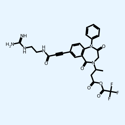 CC(CC(=O)OC(=O)C(F)(F)F)N1CC(=O)N(c2ccccc2)c2ccc(C#CC(=O)NCCNC(=N)N)cc2C1=O